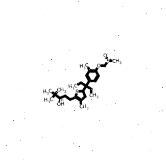 CCC(CC)(c1ccc(OC[S+](C)[O-])c(C)c1)C1CC(C)=C(CC[C@@H](O)C(C)(C)C)S1